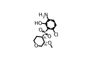 CO[C@@H]1COCC[C@H]1S(=O)(=O)c1c(Cl)ccc(N)c1O